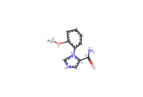 COc1ccccc1-n1cncc1C(N)=O